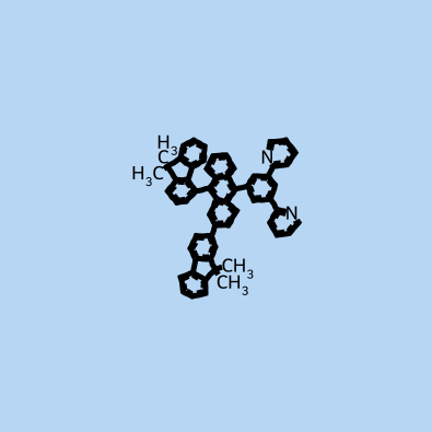 CC1(C)c2ccccc2-c2ccc(-c3ccc4c(-c5cc(-c6ccccn6)cc(-c6ccccn6)c5)c5ccccc5c(-c5cccc6c5-c5ccccc5C6(C)C)c4c3)cc21